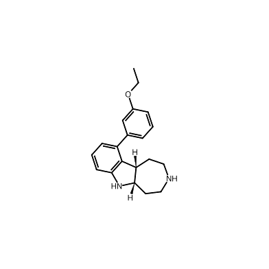 CCOc1cccc(-c2cccc3c2[C@@H]2CCNCC[C@@H]2N3)c1